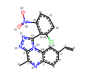 C=Cc1ccc2nc(C)c3nnc(-c4c(Cl)cccc4[N+](=O)[O-])n3c2c1